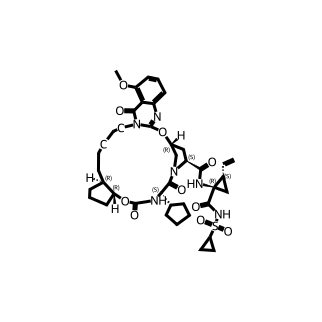 C=C[C@@H]1C[C@]1(NC(=O)[C@@H]1C[C@@H]2CN1C(=O)[C@H](C1CCCC1)NC(=O)O[C@@H]1CCC[C@H]1CCCCCn1c(nc3cccc(OC)c3c1=O)O2)C(=O)NS(=O)(=O)C1CC1